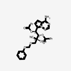 CO[C@](C#N)(COCOc1ccccc1)[C@@H](OC(=O)C(C)C)[C@@H](OC(=O)C(C)C)c1ccc2c(N)ncnn12